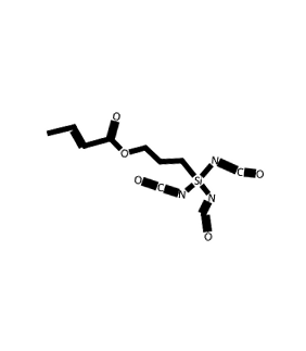 CC=CC(=O)OCCC[Si](N=C=O)(N=C=O)N=C=O